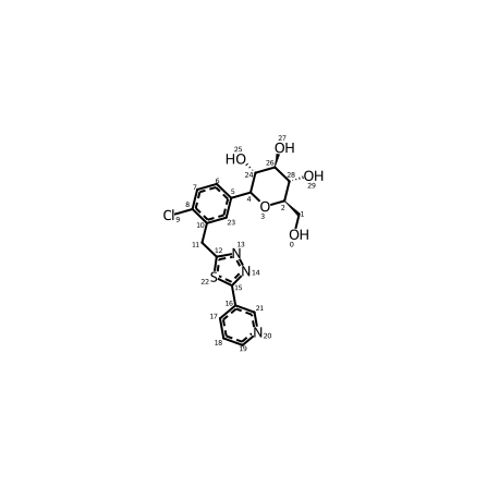 OC[C@H]1OC(c2ccc(Cl)c(Cc3nnc(-c4cccnc4)s3)c2)[C@H](O)[C@@H](O)[C@@H]1O